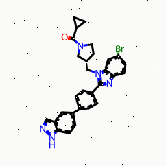 O=C(C1CC1)N1CC[C@@H](Cn2c(-c3ccc(-c4ccc5[nH]ncc5c4)cc3)nc3ccc(Br)cc32)C1